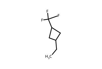 CCC1CC(C(F)(F)F)C1